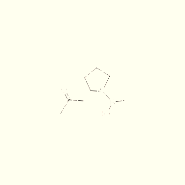 CB(O)N1CCC[C@H]1CC(C)=O